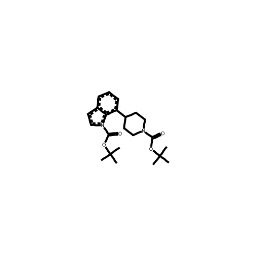 CC(C)(C)OC(=O)N1CCC(c2cccc3ccn(C(=O)OC(C)(C)C)c23)CC1